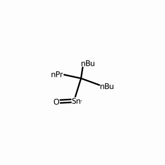 CCCC[C](CCC)(CCCC)[Sn]=[O]